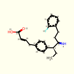 CC[C@H](C(=N)CCc1ccccc1F)c1ccc(C/C=C/C(=O)O)cc1